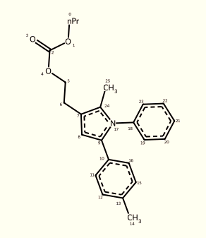 CCCOC(=O)OCCc1cc(-c2ccc(C)cc2)n(-c2ccccc2)c1C